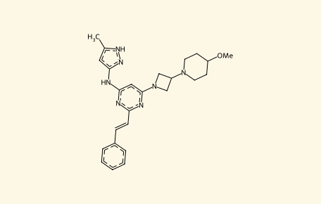 COC1CCN(C2CN(c3cc(Nc4cc(C)[nH]n4)nc(/C=C/c4ccccc4)n3)C2)CC1